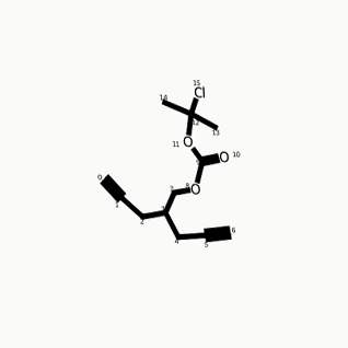 C#CCC(CC#C)COC(=O)OC(C)(C)Cl